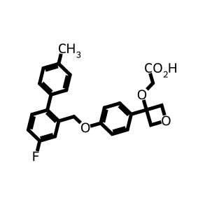 Cc1ccc(-c2ccc(F)cc2COc2ccc(C3(OCC(=O)O)COC3)cc2)cc1